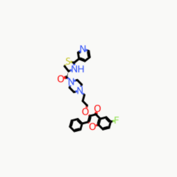 O=C([C@@H]1CSC(c2cccnc2)N1)N1CCN(CCCOc2c(-c3ccccc3)oc3ccc(F)cc3c2=O)CC1